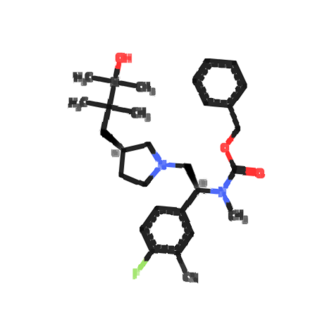 CN(C(=O)OCc1ccccc1)[C@H](CN1CC[C@@H](CC(C)(C)[Si](C)(C)O)C1)c1ccc(F)c(C#N)c1